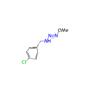 CO/N=N/NCc1ccc(Cl)cc1